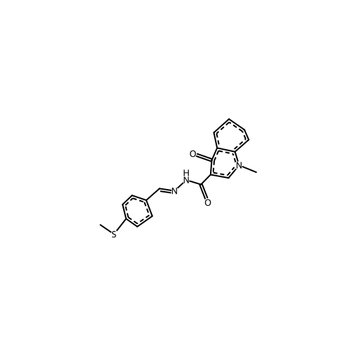 CSc1ccc(/C=N/NC(=O)c2cn(C)c3ccccc3c2=O)cc1